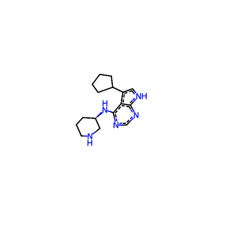 c1nc(N[C@@H]2CCCNC2)c2c(C3CCCC3)c[nH]c2n1